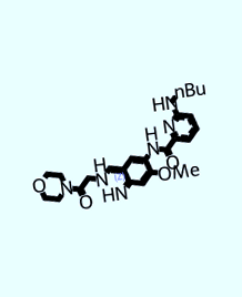 CCCCNc1cccc(C(=O)NC2=C/C(=C/NCC(=O)N3CCOCC3)C(=N)C=C2OC)n1